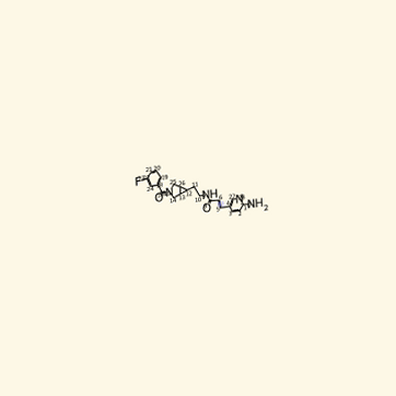 Nc1ccc(/C=C/C(=O)NCCC2C3CN(C(=O)c4cccc(F)c4)CC23)cn1